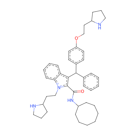 O=C(NC1CCCCCCC1)c1c(C(c2ccccc2)c2ccc(OCCC3CCCN3)cc2)c2ccccc2n1CCC1CCCN1